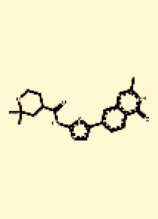 Cc1nc2cc(-c3cnc(NC(=O)C4CCOC(C)(C)C4)s3)ccc2c(=O)[nH]1